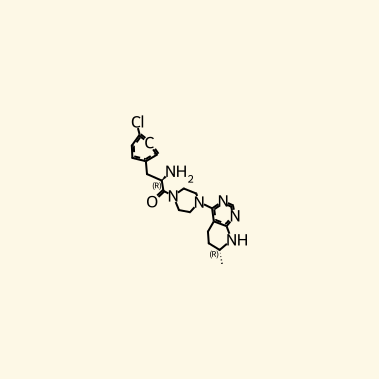 C[C@@H]1CCc2c(ncnc2N2CCN(C(=O)[C@H](N)Cc3ccc(Cl)cc3)CC2)N1